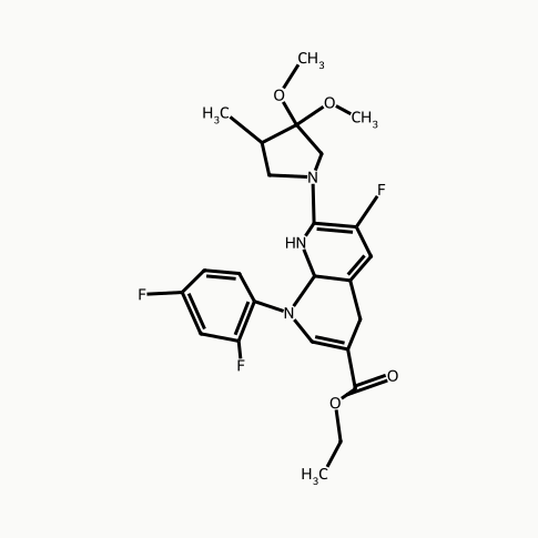 CCOC(=O)C1=CN(c2ccc(F)cc2F)C2NC(N3CC(C)C(OC)(OC)C3)=C(F)C=C2C1